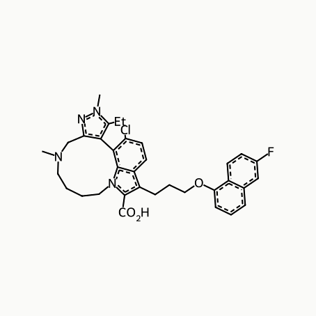 CCc1c2c(nn1C)CN(C)CCCCn1c(C(=O)O)c(CCCOc3cccc4cc(F)ccc34)c3ccc(Cl)c-2c31